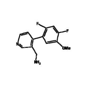 COc1cc(-c2ccncc2CN)c(F)cc1F